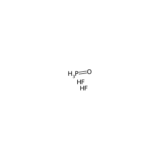 F.F.O=[PH3]